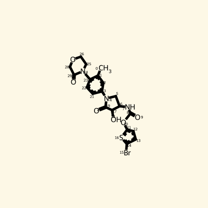 Cc1cc(N2CC(NC(=O)Oc3ccc(Br)s3)C(O)C2=O)ccc1N1CCOCC1=O